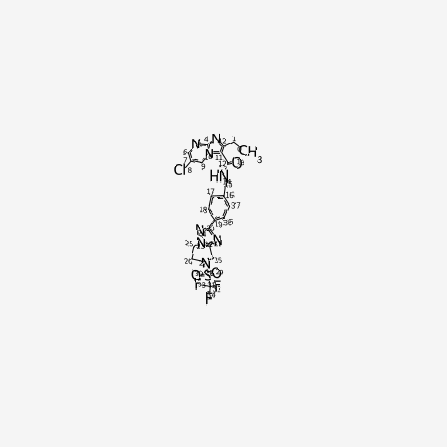 CCc1nc2ncc(Cl)cn2c1C(=O)NCc1ccc(-c2nc3n(n2)CCN(S(=O)(=O)C(F)(F)F)C3)cc1